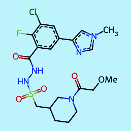 COCC(=O)N1CCCC(CS(=O)(=O)NNC(=O)c2cc(-c3cn(C)cn3)cc(Cl)c2F)C1